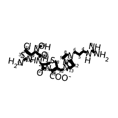 N=C(N)NCCCn1ccn2c1cc[n+]2CC1=C(C(=O)[O-])N2C(=O)[C@@H](NC(=O)/C(=N\O)c3nc(N)sc3Cl)[C@H]2SC1